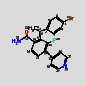 C[C@@H](c1ccc(Br)cc1)c1c(C(N)=O)ccc(-c2ccncc2)c1F